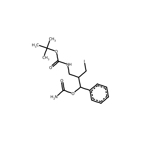 CC(C)(C)OC(=O)NCC(CI)C(OC(N)=O)c1ccccc1